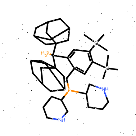 C[Si](C)(C)c1cc(CP(C2CCCNC2)C2CCCNC2)c(C(P)(C23CC4CC(CC(C4)C2)C3)C23CC4CC(CC(C4)C2)C3)cc1[Si](C)(C)C